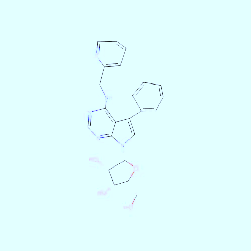 OC[C@H]1O[C@@H](n2cc(-c3ccccc3)c3c(NCc4ccccn4)ncnc32)[C@@H](O)[C@H]1O